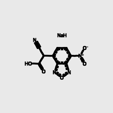 N#CC(C(=O)O)c1ccc([N+](=O)[O-])c2nonc12.[NaH]